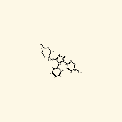 CN1CCC(Nc2n[nH]c(-c3ccc(F)cc3)c2-c2ccccn2)CC1